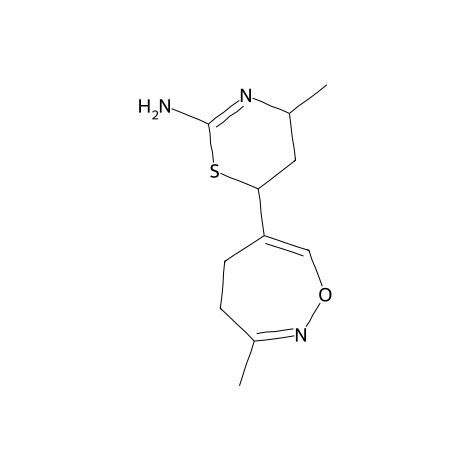 CC1=NOC=C(C2CC(C)N=C(N)S2)CC1